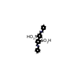 O=S(=O)(O)c1cc(/C=C/c2ccccc2)ccc1-c1ccc(/C=C/c2ccccc2)cc1S(=O)(=O)O